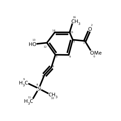 COC(=O)c1cc(C#C[Si](C)(C)C)c(O)cc1C